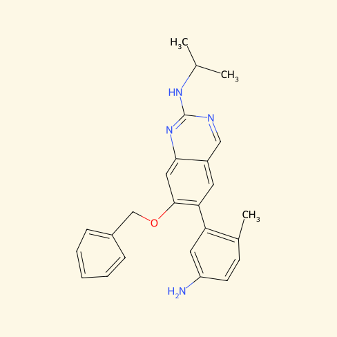 Cc1ccc(N)cc1-c1cc2cnc(NC(C)C)nc2cc1OCc1ccccc1